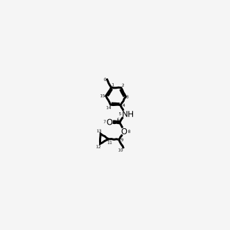 Cc1ccc(NC(=O)OC(C)C2CC2)cc1